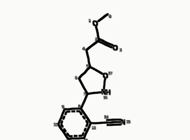 COC(=O)CC1CC(c2ccccc2C#N)NO1